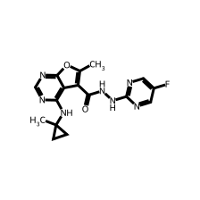 Cc1oc2ncnc(NC3(C)CC3)c2c1C(=O)NNc1ncc(F)cn1